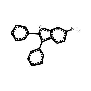 Nc1ccc2c(-c3ccccc3)c(-c3ccccc3)oc2c1